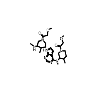 CNC1CN(C(=O)COC)CCC1C.COCC(=O)N1CCC(C)C(N(C)c2ncnc3[nH]ccc23)C1